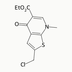 CCOC(=O)c1cn(C)c2sc(CCl)cc2c1=O